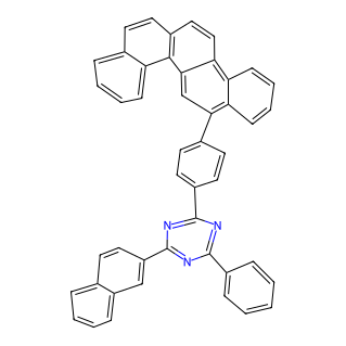 c1ccc(-c2nc(-c3ccc(-c4cc5c(ccc6ccc7ccccc7c65)c5ccccc45)cc3)nc(-c3ccc4ccccc4c3)n2)cc1